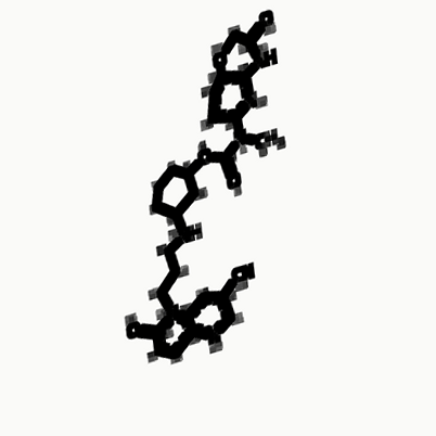 CN(C(=O)OC1CCCC(NCCCn2c(=O)ccc3ncc(C#N)cc32)C1)c1ccc2c(n1)NC(=O)CO2